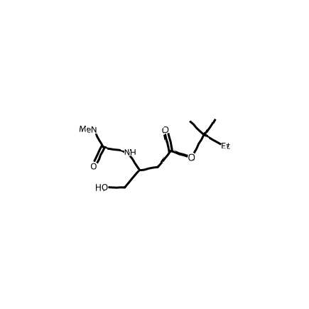 CCC(C)(C)OC(=O)CC(CO)NC(=O)NC